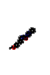 CCOc1ccc(-c2ccc3c(c2)CCN(CC(=O)N2CCN(C4CCCCC4)CC2)C3)cc1